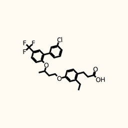 CCc1cc(OCCC(C)Oc2ccc(C(F)(F)F)cc2-c2cccc(Cl)c2)ccc1CCC(=O)O